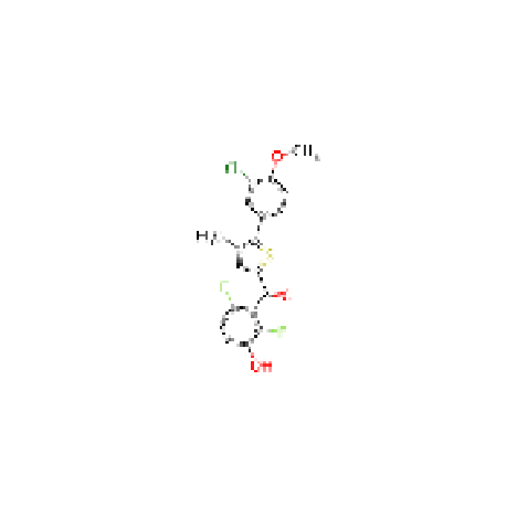 COc1ccc(-c2sc(C(=O)c3c(F)ccc(O)c3F)cc2C)cc1Cl